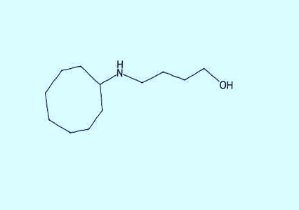 OCCCCNC1CCCCCCC1